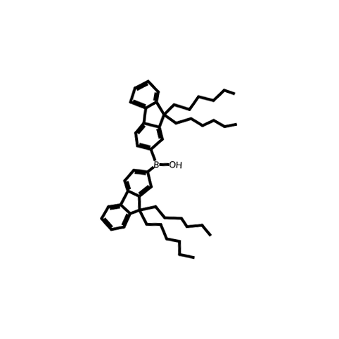 CCCCCCC1(CCCCCC)c2ccccc2-c2ccc(B(O)c3ccc4c(c3)C(CCCCCC)(CCCCCC)c3ccccc3-4)cc21